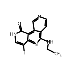 O=c1[nH]cc(I)c2nc(NCC(F)(F)F)c3ccncc3c12